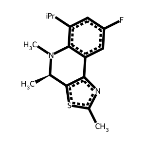 Cc1nc2c(s1)[C@@H](C)N(C)c1c-2cc(F)cc1C(C)C